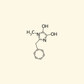 Cn1c(Cc2ccccc2)nc(O)c1O